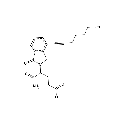 NC(=O)C(CCC(=O)O)N1Cc2c(C#CCCCCO)cccc2C1=O